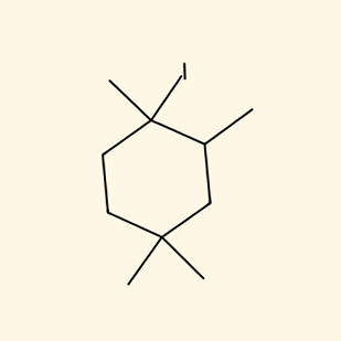 CC1CC(C)(C)CCC1(C)I